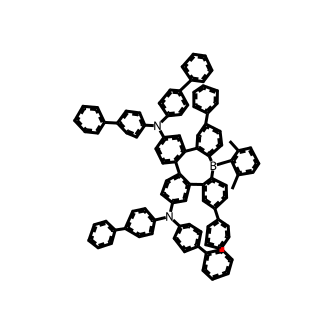 Cc1cccc(C)c1B1c2ccc(-c3ccccc3)cc2-c2cc(N(c3ccc(-c4ccccc4)cc3)c3ccc(-c4ccccc4)cc3)ccc2-c2ccc(N(c3ccc(-c4ccccc4)cc3)c3ccc(-c4ccccc4)cc3)cc2-c2cc(-c3ccccc3)ccc21